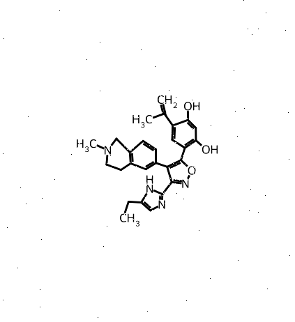 C=C(C)c1cc(-c2onc(-c3ncc(CC)[nH]3)c2-c2ccc3c(c2)CCN(C)C3)c(O)cc1O